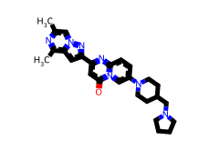 Cc1cn2nc(-c3cc(=O)n4cc(N5CCC(CN6CCCC6)CC5)ccc4n3)cc2c(C)n1